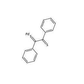 S=C(C(=S)c1ccccc1)c1ccccc1.[Pd]